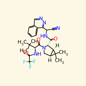 CC(C)(C)[C@H](NC(=O)C(F)(F)F)C(=O)N1C[C@H]2[C@@H]([C@H]1C(=O)NC(C#N)c1nncc3ccccc13)C2(C)C